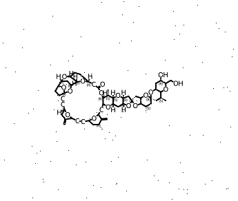 C=C1C[C@@H]2CC[C@]34CCC(O3)[C@H]3C[C@@H](O4)[C@H]4O[C@H](CC[C@@H]4O3)CC(=O)O[C@H]3C(CC4OC(CCC1O2)C[C@@H](C)C4=C)O[C@H]1C[C@H]2O[C@@]4(CC5O[C@]6(C[C@H](C)C7OC(CO)[C@H](O)CC7O6)C[C@H](C)C5O4)C[C@H]2O[C@H]1[C@@H]3C